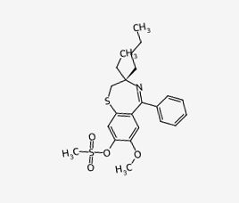 CCCC[C@]1(CC)CSc2cc(OS(C)(=O)=O)c(OC)cc2C(c2ccccc2)=N1